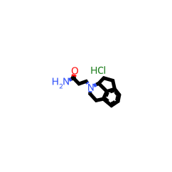 Cl.NC(=O)CCN1CCc2cccc3c2C1CC3